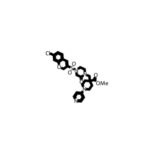 COC(=O)C1(CN2CCN(S(=O)(=O)C3=Cc4ccc(Cl)cc4OC3)CC2=O)CCN(c2ccncc2)CC1